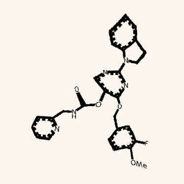 COc1ccc(COc2nc(N3CCc4ccccc43)ncc2OC(=O)NCc2ccccn2)cc1F